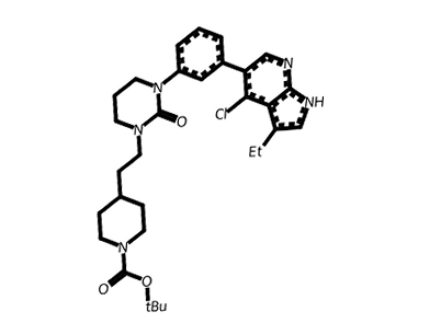 CCc1c[nH]c2ncc(-c3cccc(N4CCCN(CCC5CCN(C(=O)OC(C)(C)C)CC5)C4=O)c3)c(Cl)c12